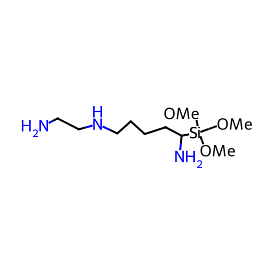 CO[Si](OC)(OC)C(N)CCCCNCCN